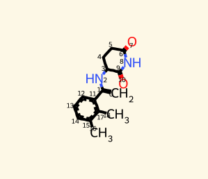 C=C(NC1CCC(=O)NC1=O)c1cccc(C)c1C